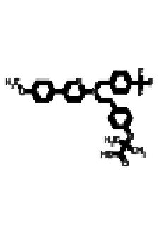 COc1ccc(-c2ccc(N(CCc3ccc(OC(C)(C)C(=O)O)cc3)Cc3ccc(C(F)(F)F)cc3)nc2)cc1